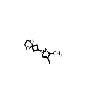 Cc1nn(C2CC3(C2)OCCO3)cc1I